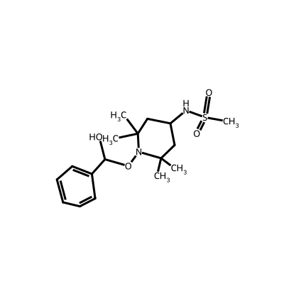 CC1(C)CC(NS(C)(=O)=O)CC(C)(C)N1OC(O)c1ccccc1